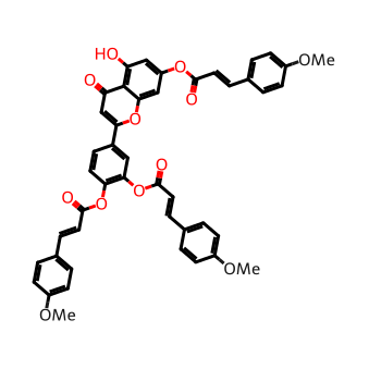 COc1ccc(/C=C/C(=O)Oc2cc(O)c3c(=O)cc(-c4ccc(OC(=O)/C=C/c5ccc(OC)cc5)c(OC(=O)/C=C/c5ccc(OC)cc5)c4)oc3c2)cc1